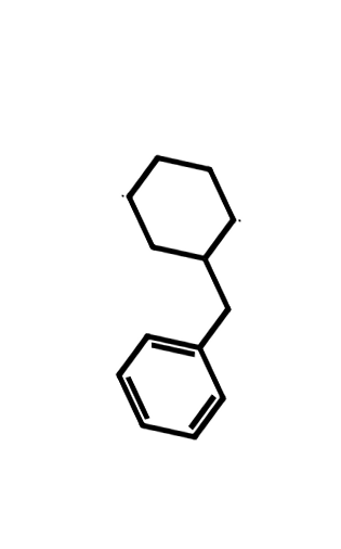 [CH]1CC[CH]C(Cc2ccccc2)C1